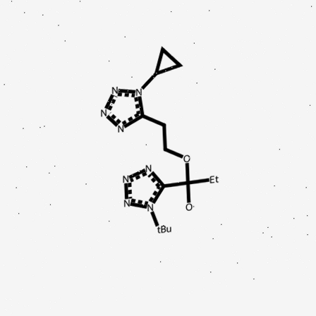 CCC([O])(OCCc1nnnn1C1CC1)c1nnnn1C(C)(C)C